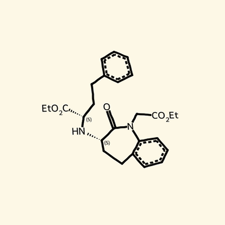 CCOC(=O)CN1C(=O)[C@@H](N[C@@H](CCc2ccccc2)C(=O)OCC)CCc2ccccc21